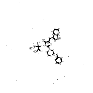 Cl.O=C(O)C(F)(F)F.O=C1NC(N2CCO[C@H](Cc3ccccc3)C2)=N/C1=C\c1c[nH]c2ncccc12